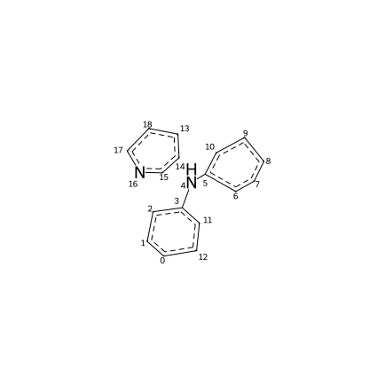 c1ccc(Nc2ccccc2)cc1.c1ccncc1